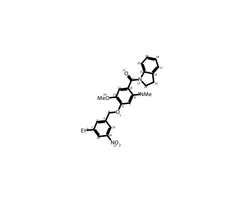 CCc1cc(COc2cc(NC)c(C(=O)N3CCc4ccccc43)cc2OC)cc([N+](=O)[O-])c1